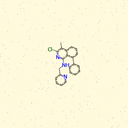 Cc1c(Cl)nc(NCc2ccccn2)c2c(-c3ccccc3)cccc12